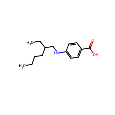 CCCCC(CC)CNc1ccc(C(=O)O)cc1